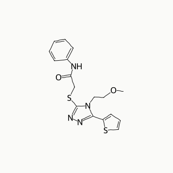 COCCn1c(SCC(=O)Nc2ccccc2)nnc1-c1cccs1